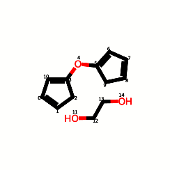 C1=CCC(OC2=CC=CC2)=C1.OCCO